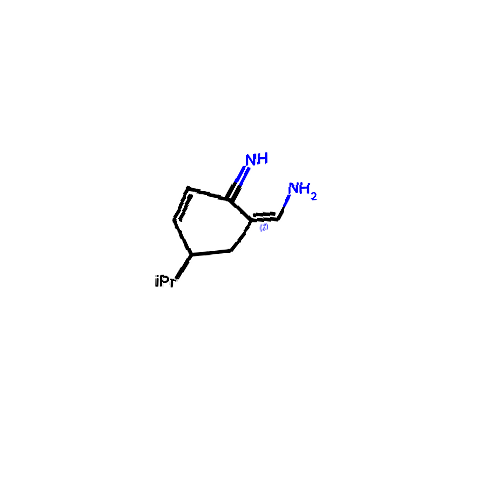 CC(C)C1C=CC(=N)/C(=C\N)C1